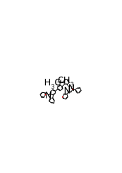 CC1(C)c2cc(-c3ccc4c(c3)c3ccccc3n4-c3ccccc3)ccc2-c2c(-c3nc(-c4ccccc4)cc(-c4ccccc4)n3)cccc21